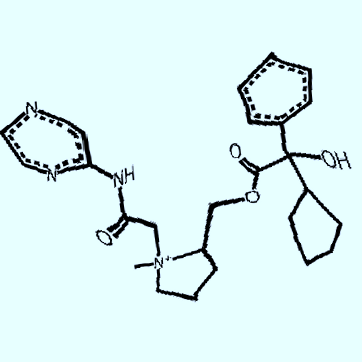 C[N+]1(CC(=O)Nc2cnccn2)CCCC1COC(=O)C(O)(c1ccccc1)C1CCCC1